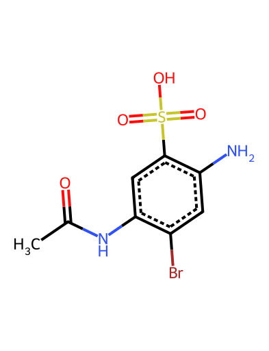 CC(=O)Nc1cc(S(=O)(=O)O)c(N)cc1Br